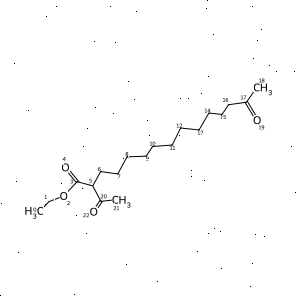 CCOC(=O)C(CCCCCCCCCCCC(C)=O)C(C)=O